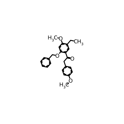 CCc1cc(C(=O)Cc2ccc(OC)cc2)c(OCc2ccccc2)cc1OC